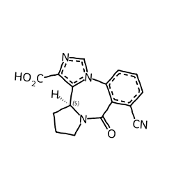 N#Cc1cccc2c1C(=O)N1CCC[C@H]1c1c(C(=O)O)ncn1-2